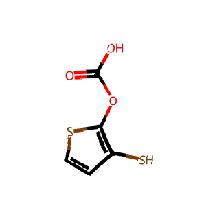 O=C(O)Oc1sccc1S